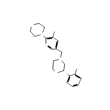 COc1cc(CN2CCN[C@H](c3ccccc3C)C2)cnc1N1CCOC[C@H]1C